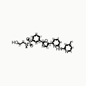 Cc1ccnc(Nc2cccc(-c3cnc(-c4cccc(S(=O)(=O)N(C)CCO)c4)o3)n2)c1